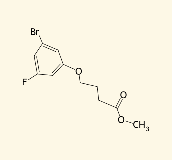 COC(=O)CCCOc1cc(F)cc(Br)c1